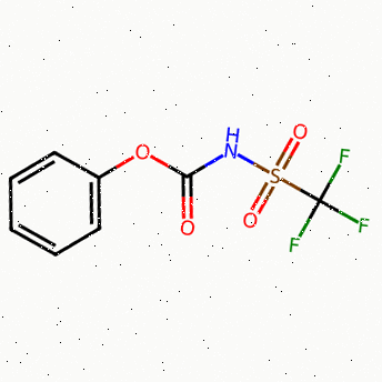 O=C(NS(=O)(=O)C(F)(F)F)Oc1ccccc1